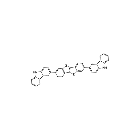 c1ccc2c(c1)[nH]c1ccc(-c3ccc4c(c3)sc3c5ccc(-c6ccc7[nH]c8ccccc8c7c6)cc5sc43)cc12